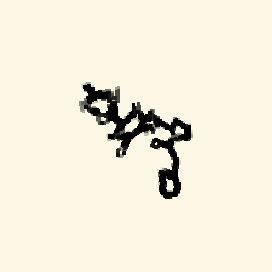 Cc1noc(-c2nc3sc(C4CCCN4C(=O)Cc4ccccc4)nc3c(=O)n2C)n1